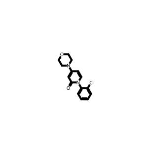 O=c1cc(N2CCOCC2)ccn1-c1ccccc1Cl